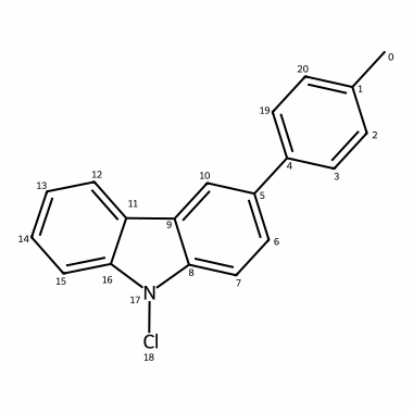 Cc1ccc(-c2ccc3c(c2)c2ccccc2n3Cl)cc1